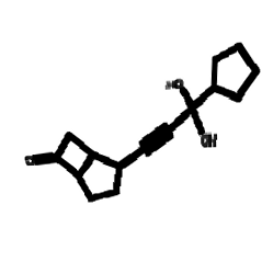 O=C1CC2C(C#CC(O)(O)C3CCCC3)CCC12